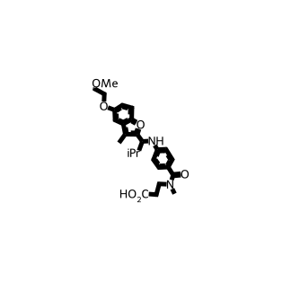 COCCOc1ccc2oc(C(Nc3ccc(C(=O)N(C)CCC(=O)O)cc3)C(C)C)c(C)c2c1